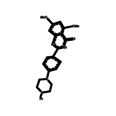 COc1cc(OC)c2c(=O)[nH]c(-c3ccc(N4CCN(C(C)C)CC4)cc3)nc2c1